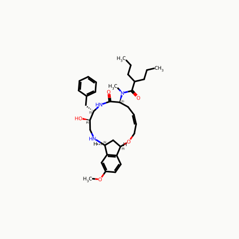 CCCC(CCC)C(=O)N(C)[C@H]1CC=CCO[C@@H]2C[C@H](NC[C@@H](O)[C@H](Cc3ccccc3)NC1=O)c1cc(OC)ccc12